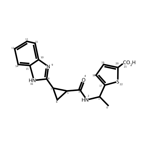 CC(NC(=O)C1CC1c1nc2ccccc2[nH]1)c1ccc(C(=O)O)s1